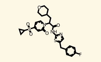 O=C(Nc1ncc(Cc2ccc(F)cc2)s1)C(CC1CCOCC1)n1ccc(S(=O)(=O)C2CC2)cc1=O